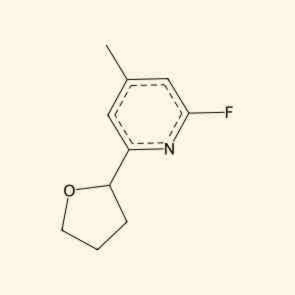 Cc1cc(F)nc(C2CCCO2)c1